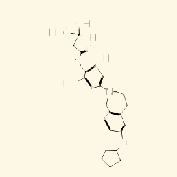 Cc1cc(N2CCCc3cc(OC4CCCC4)ccc3C2)cc(C)c1NC(=O)CC(C)(C)C